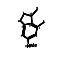 CNc1cc(C)c2c(c1)CCC2C